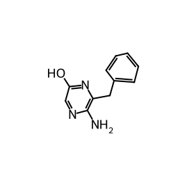 Nc1ncc(O)nc1Cc1ccccc1